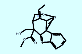 C/C=C1/C2CCN3CCC4(C(=Nc5ccccc54)C2(CO)C(=O)OC)C13